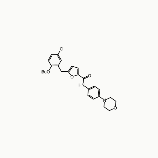 CC(C)COc1ccc(Cl)cc1Cc1ccc(C(=O)Nc2ccc(N3CCOCC3)cc2)o1